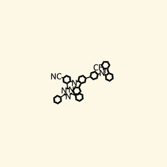 N#Cc1ccc(-n2c3ccccc3c3cc(-c4ccc(-n5c6ccccc6c6ccccc65)c(C(F)(F)F)c4)ccc32)c(-c2nc(-c3ccccc3)nc(-c3ccccc3)n2)c1